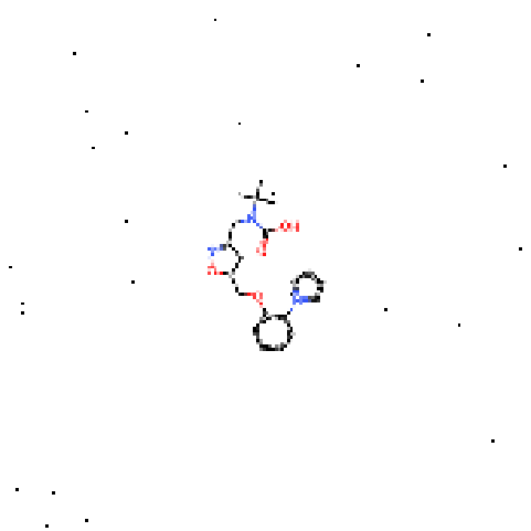 CC(C)(C)N(CC1=NOC(COc2ccccc2-n2cccc2)C1)C(=O)O